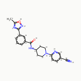 Cc1nc(-c2cccc(C(=O)NC3CCN(c4ccc(C#N)cn4)CC3)c2)no1